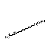 O=C(O)CCCNCCCCCCCCCCCOOOOO